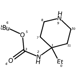 CCC1(NC(=O)OC(C)(C)C)CCNCC1